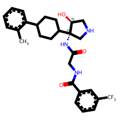 Cc1ccccc1C1CCC([C@]2(NC(=O)CNC(=O)c3cccc(C(F)(F)F)c3)CNC[C@@H]2O)CC1